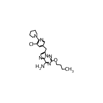 CCCCOc1nc(N)c2ncc(Cc3cnc(N4CCCCC4)c(Cl)c3)n2n1